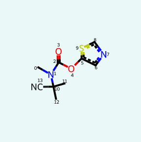 CN(C(=O)Oc1cncs1)C(C)(C)C#N